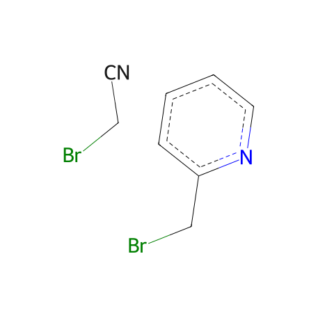 BrCc1ccccn1.N#CCBr